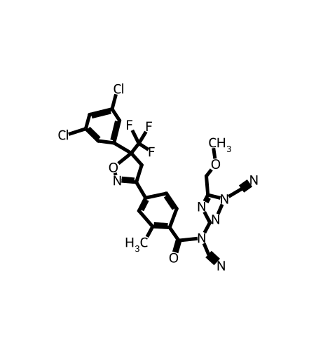 COCc1nc(N(C#N)C(=O)c2ccc(C3=NOC(c4cc(Cl)cc(Cl)c4)(C(F)(F)F)C3)cc2C)nn1C#N